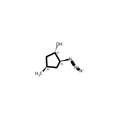 C[C@@H]1C[C@H](N=[N+]=[N-])[C@@H](O)C1